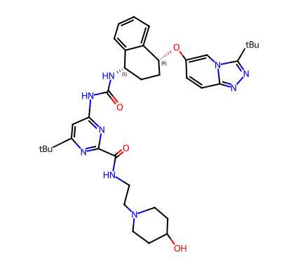 CC(C)(C)c1cc(NC(=O)N[C@H]2CC[C@@H](Oc3ccc4nnc(C(C)(C)C)n4c3)c3ccccc32)nc(C(=O)NCCN2CCC(O)CC2)n1